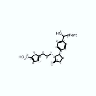 CCCCCC(O)c1ccc([C@H]2CCC(=O)[C@@H]2CCCc2ccc(C(=O)O)s2)cc1